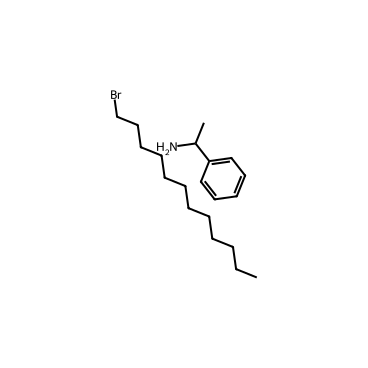 CC(N)c1ccccc1.CCCCCCCCCCCCBr